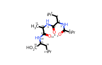 CCCC(=O)NC(CC(C)C)C(=O)NC(C)C(=O)NC(CC(C)C)C(=O)O